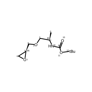 C[C@H](COC[C@@H]1CO1)NC(=O)OC(C)(C)C